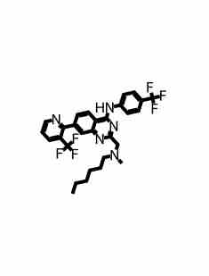 CCCCCCN(C)Cc1nc(Nc2ccc(C(F)(F)F)cc2)c2ccc(-c3ncccc3C(F)(F)F)cc2n1